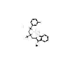 [C-]#[N+]c1c(CC(O)(CC(C)(C)c2cccc(F)c2)C(F)(F)F)[nH]c2ccccc12